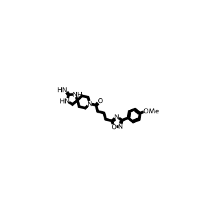 COc1ccc(-c2noc(CCCC(=O)N3CCC4(CC3)CNC(=N)N4)n2)cc1